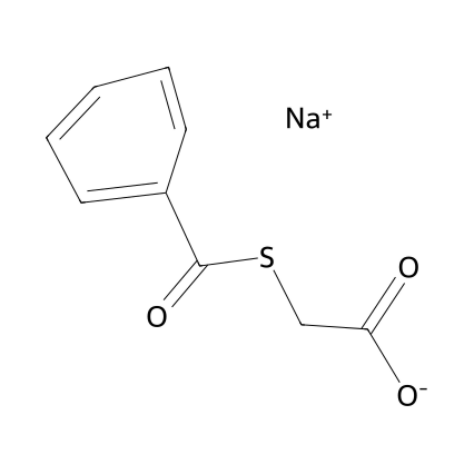 O=C([O-])CSC(=O)c1ccccc1.[Na+]